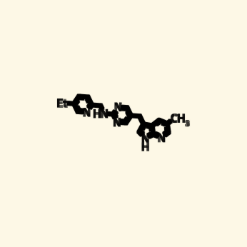 CCc1ccc(CNc2ncc(Cc3c[nH]c4ncc(C)cc34)cn2)nc1